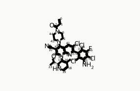 C=CC(=O)N1CCN(c2c(C#N)c(=O)n(C3=C(C)C=CN[C@@H]3C(C)C)c3nc(-c4c(Cl)c(N)c(Cl)c(F)c4Cl)c(Cl)cc23)CC1